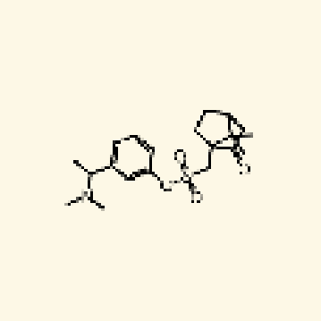 CC(c1cccc(OS(=O)(=O)CC23CCC(CC2=O)C3(C)C)c1)N(C)C